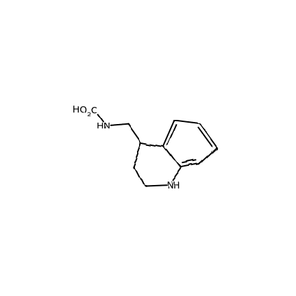 O=C(O)NCC1CCNc2ccccc21